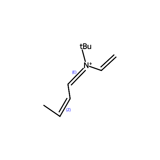 C=C/[N+](=C\C=C/C)C(C)(C)C